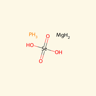 O=[Se](=O)(O)O.P.[MgH2]